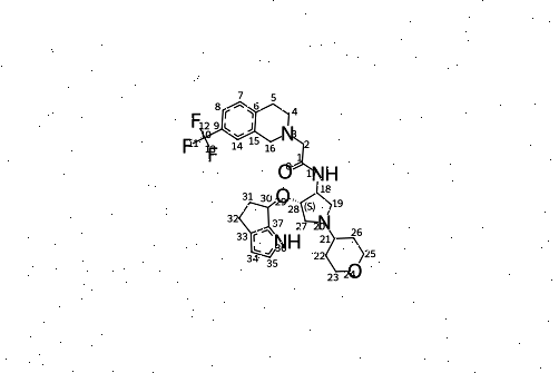 O=C(CN1CCc2ccc(C(F)(F)F)cc2C1)NC1CN(C2CCOCC2)C[C@@H]1OC1CCc2cc[nH]c21